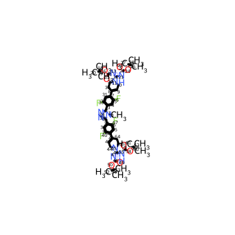 Cn1c(-c2cc(F)c(C3=CCN(/C(=N\C(=O)OC(C)(C)C)NC(=O)OC(C)(C)C)CC3)cc2F)nnc1-c1cc(F)c(C2=CCN(/C(=N/C(=O)OC(C)(C)C)NC(=O)OC(C)(C)C)CC2)cc1F